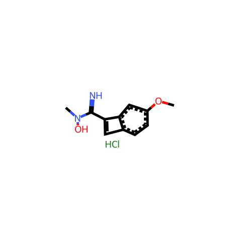 COc1ccc2c(c1)C(C(=N)N(C)O)=C2.Cl